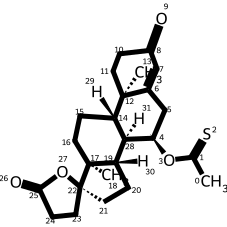 CC(=S)O[C@@H]1CC2=CC(=O)CC[C@]2(C)[C@H]2CC[C@@]3(C)[C@@H](CC[C@@]34CCC(=O)O4)[C@H]12